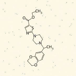 CCOC(=O)c1cnc(N2CCN(C(C)c3ccc4c(c3)OCCO4)CC2)s1